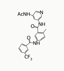 CC(=O)Nc1cncc(NC(=O)c2cc(NC(=O)c3cccc(C(F)(F)F)c3)ccc2C)c1